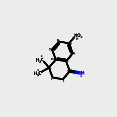 CC1(C)CCC(=N)c2cc([N+](=O)[O-])ccc21